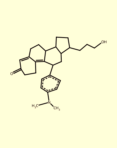 CN(C)c1ccc(C2CC3C(CCCO)CCC3C3CCC4=CC(=O)CCC4=C23)cc1